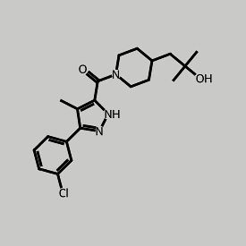 Cc1c(-c2cccc(Cl)c2)n[nH]c1C(=O)N1CCC(CC(C)(C)O)CC1